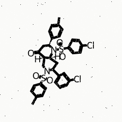 Cc1ccc([C@@H]2CC(=O)[C@@H]3CN(S(=O)(=O)c4ccc(C)cc4)C(c4cccc(Cl)c4)C[C@@H]3N2S(=O)(=O)c2ccc(Cl)cc2)cc1